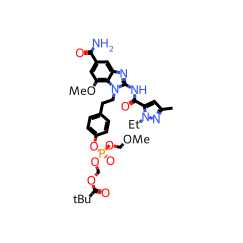 CCn1nc(C)cc1C(=O)Nc1nc2cc(C(N)=O)cc(OC)c2n1CCc1ccc(OP(=O)(OCOC)OCOC(=O)C(C)(C)C)cc1